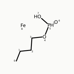 CCCCO[PH](=O)O.[Fe]